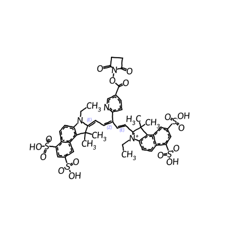 CCN1/C(=C/C=C(/C=C/C2=[N+](CC)c3ccc4c(S(=O)(=O)O)cc(S(=O)(=O)O)cc4c3C2(C)C)c2ccc(C(=O)ON3C(=O)CCC3=O)cn2)C(C)(C)c2c1ccc1c(S(=O)(=O)O)cc(S(=O)(=O)O)cc21